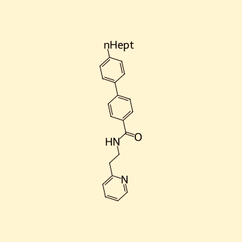 CCCCCCCc1ccc(-c2ccc(C(=O)NCCc3ccccn3)cc2)cc1